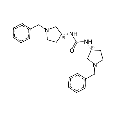 O=C(N[C@@H]1CCN(Cc2ccccc2)C1)N[C@@H]1CCN(Cc2ccccc2)C1